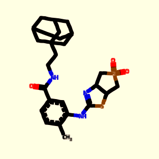 Cc1ccc(C(=O)NCCC23CC4CC(CC(C4)C2)C3)cc1NC1=NC2CS(=O)(=O)CC2S1